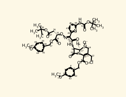 COc1ccc(COC(=O)C2=C(CCl)C[S@@+]([O-])[C@@H]3[C@H](NC(=O)C(=NO[C@@H](CC(=O)OC(C)(C)C)C(=O)OCc4ccc(OC)cc4)c4csc(NC(=O)OC(C)(C)C)n4)C(=O)N23)cc1